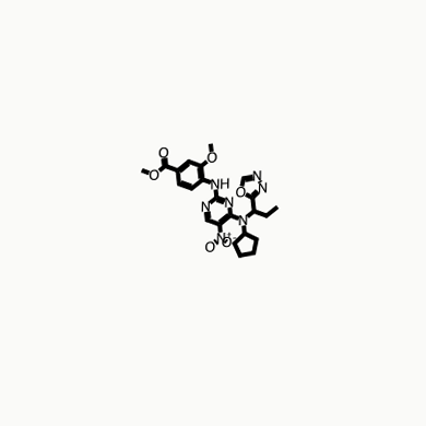 CCC(c1nnco1)N(c1nc(Nc2ccc(C(=O)OC)cc2OC)ncc1[N+](=O)[O-])C1CCCC1